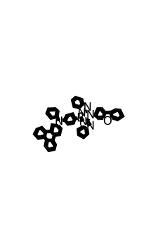 c1ccc(N(c2ccc(B3n4c(nc5ccccc54)N(c4ccc5c(c4)oc4ccccc45)c4nc5ccccc5n43)cc2)c2ccc3c4ccccc4c4ccccc4c3c2)cc1